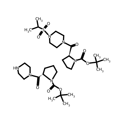 CC(C)(C)OC(=O)N1CCC[C@H]1C(=O)N1CCNCC1.CC(C)S(=O)(=O)N1CCN(C(=O)[C@@H]2CCCN2C(=O)OC(C)(C)C)CC1